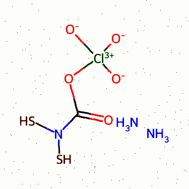 N.N.O=C(O[Cl+3]([O-])([O-])[O-])N(S)S